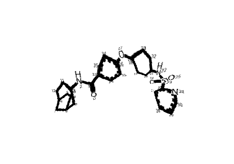 O=C(NC1C2CC3CC(C2)CC1C3)c1ccc(OC2CCC(NS(=O)(=O)c3ccccn3)CC2)cc1